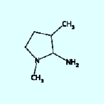 CC1CCN(C)C1N